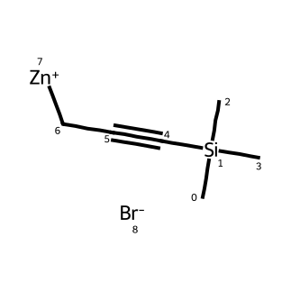 C[Si](C)(C)C#C[CH2][Zn+].[Br-]